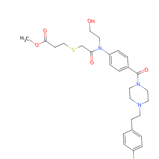 COC(=O)CCSCC(=O)N(CCO)c1ccc(C(=O)N2CCN(CCc3ccc(Cl)cc3)CC2)cc1